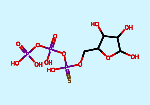 O=P(O)(O)OP(=O)(O)OP(O)(=S)OCC1OC(O)C(O)C1O